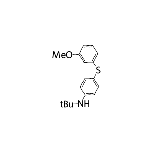 COc1cccc(Sc2ccc(NC(C)(C)C)cc2)c1